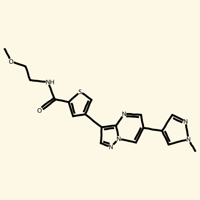 COCCNC(=O)c1cc(-c2cnn3cc(-c4cnn(C)c4)cnc23)cs1